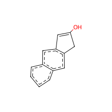 OC1=Cc2cc3ccccc3cc2C1